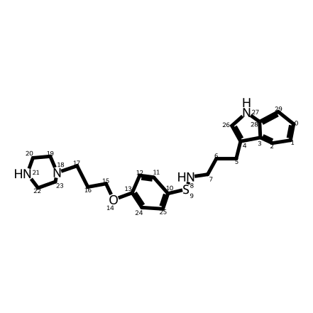 c1ccc2c(CCCNSc3ccc(OCCCN4CCNCC4)cc3)c[nH]c2c1